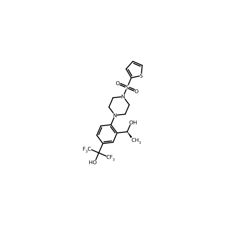 C[C@H](O)c1cc(C(O)(C(F)(F)F)C(F)(F)F)ccc1N1CCN(S(=O)(=O)c2cccs2)CC1